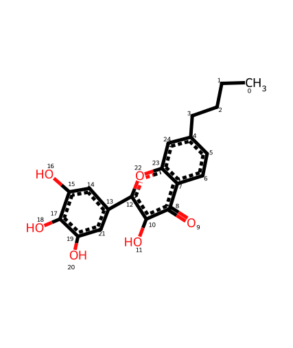 CCCCc1ccc2c(=O)c(O)c(-c3cc(O)c(O)c(O)c3)oc2c1